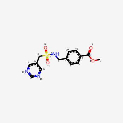 COC(=O)c1ccc(CNS(=O)(=O)Cc2cncnc2)cc1